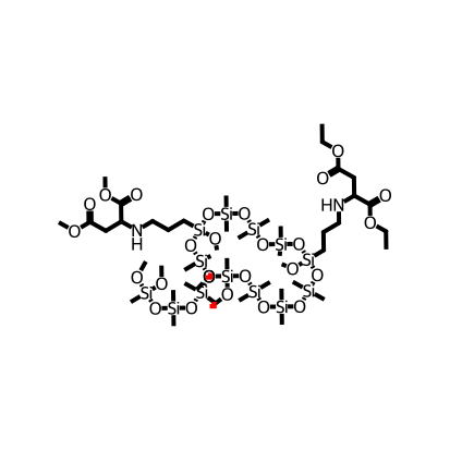 CCOC(=O)CC(NCCC[Si](OC)(O[Si](C)(C)O[Si](C)(C)O[Si](C)(C)O[Si](C)(OC)OC)O[Si](C)(C)O[Si](C)(C)O[Si](C)(C)O[Si](CCCNC(CC(=O)OC)C(=O)OC)(OC)O[Si](C)(C)O[Si](C)(C)O[Si](C)(C)O[Si](C)(OC)OC)C(=O)OCC